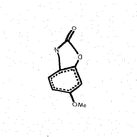 COc1ccc2c(c1)OC(=O)[N]2